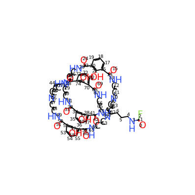 O=C(F)NCCCCC1CN2CCNC(=O)c3cccc(c3O)C(=O)NCCN(CCNC(=O)c3cccc(c3O)C(=O)N1)CCN1CCNC(=O)c3cccc(c3O)C(=O)NCCN(CCNC(=O)c3cccc(c3O)C(=O)NCC1)CC2